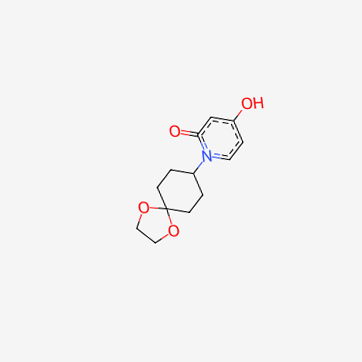 O=c1cc(O)ccn1C1CCC2(CC1)OCCO2